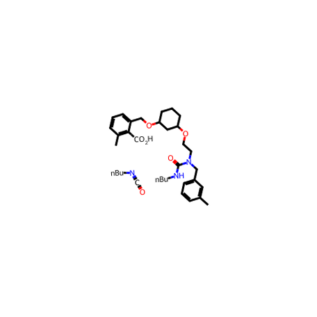 CCCCN=C=O.CCCCNC(=O)N(CCOC1CCCC(OCc2cccc(C)c2C(=O)O)C1)Cc1cccc(C)c1